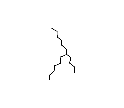 [CH2]CCCCCC(CCCC)CCCCCC